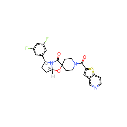 O=C(c1cc2cnccc2s1)N1CCC2(CC1)O[C@@H]1CC[C@@H](c3cc(F)cc(F)c3)N1C2=O